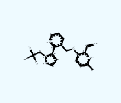 Cc1ccc(OCc2cccnc2-c2ccnn2CC(F)(F)F)c(C=O)n1